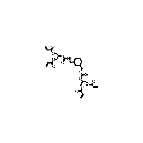 C=CC(=O)OCC(COC(=O)C=C)OC(=O)NCC1CCCC(CNC(=O)OC(COC(=O)C=C)COC(=O)C=C)C1